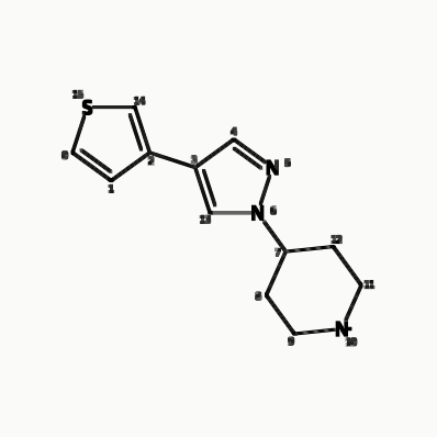 c1cc(-c2cnn(C3CC[N]CC3)c2)cs1